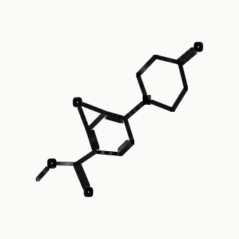 COC(=O)c1ccc(N2CCC(=O)CC2)c2c1O2